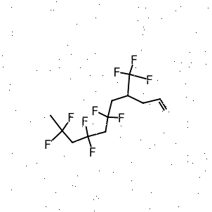 C=CCC(CC(F)(F)CC(F)(F)CC(C)(F)F)C(F)(F)F